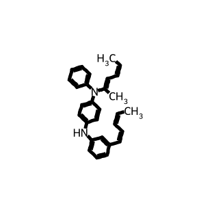 C/C=C\C=C/c1cccc(Nc2ccc(N(/C(C)=C/C=C\C)c3ccccc3)cc2)c1